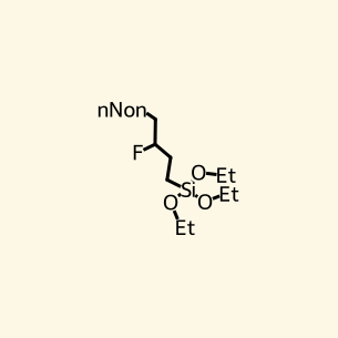 CCCCCCCCCCC(F)CC[Si](OCC)(OCC)OCC